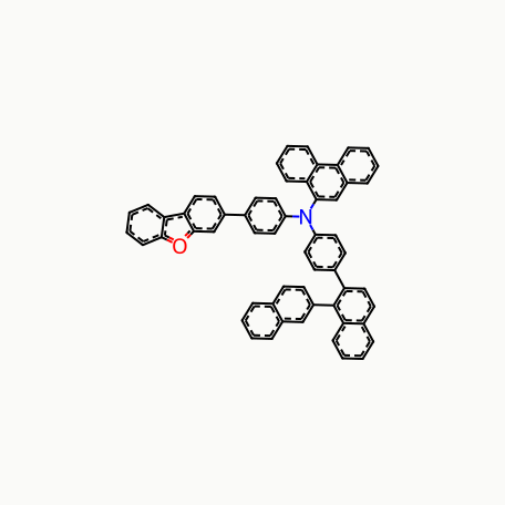 c1ccc2cc(-c3c(-c4ccc(N(c5ccc(-c6ccc7c(c6)oc6ccccc67)cc5)c5cc6ccccc6c6ccccc56)cc4)ccc4ccccc34)ccc2c1